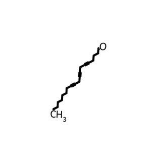 CCCCCCCCC#CCC#CCC#CCCCC=O